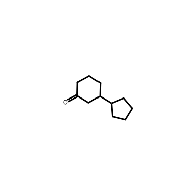 O=C1CCCC(C2CCCC2)C1